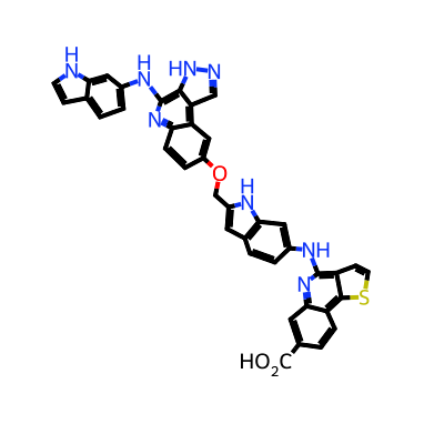 O=C(O)c1ccc2c(c1)nc(Nc1ccc3cc(COc4ccc5nc(Nc6ccc7cc[nH]c7c6)c6[nH]ncc6c5c4)[nH]c3c1)c1ccsc12